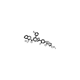 C[C@@H]1CCN(C(=O)Nc2ccc(-c3cn4nc(C(=O)N5CCc6ccccc6[C@H]5C)cc(-c5cccc(F)c5)c4n3)c(F)c2)C1